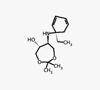 CC[C@]1(N[C@H]2COC(C)(C)OC[C@@H]2O)C=CC=CC1